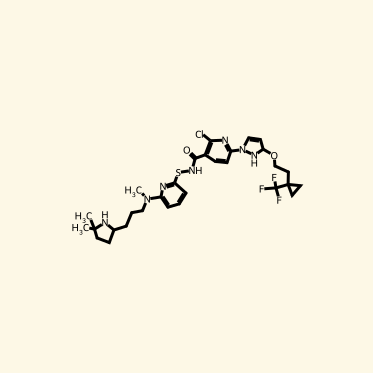 CN(CCCC1CCC(C)(C)N1)c1cccc(SNC(=O)c2ccc(N3C=CC(OCCC4(C(F)(F)F)CC4)N3)nc2Cl)n1